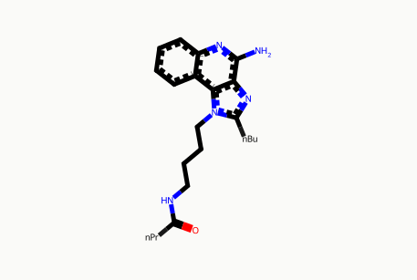 CCCCc1nc2c(N)nc3ccccc3c2n1CCCCNC(=O)CCC